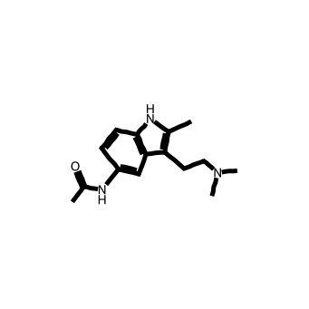 CC(=O)Nc1ccc2[nH]c(C)c(CCN(C)C)c2c1